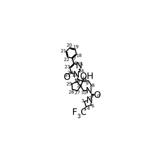 O=C(N1CC(C(F)(F)F)C1)N1CC[C@@](O)(Cn2cnc(-c3ccccc3)cc2=O)C2(CCCC2)C1